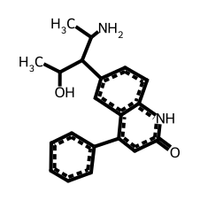 CC(N)C(c1ccc2[nH]c(=O)cc(-c3ccccc3)c2c1)C(C)O